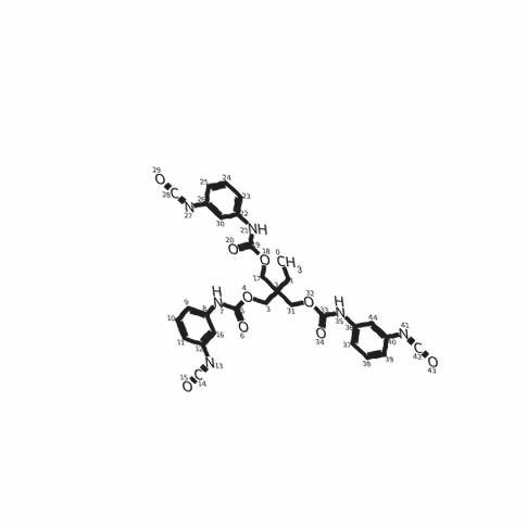 CCC(COC(=O)Nc1cccc(N=C=O)c1)(COC(=O)Nc1cccc(N=C=O)c1)COC(=O)Nc1cccc(N=C=O)c1